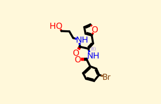 O=C(NCCCO)/C(=C\c1ccco1)NC(=O)c1cccc(Br)c1